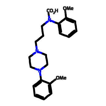 COc1ccccc1N1CCN(CCCN(C(=O)O)c2ccccc2OC)CC1